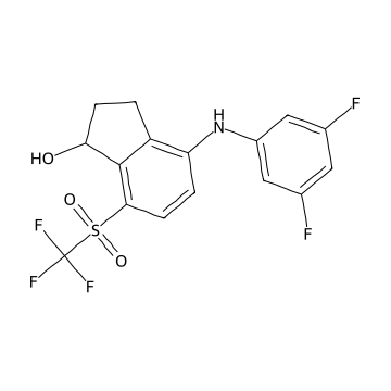 O=S(=O)(c1ccc(Nc2cc(F)cc(F)c2)c2c1C(O)CC2)C(F)(F)F